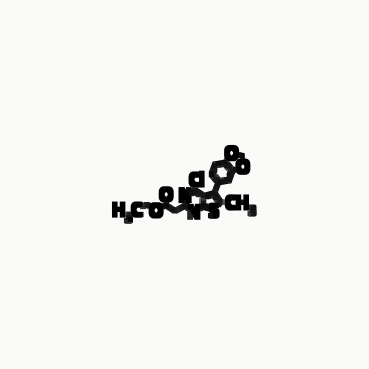 CCOC(=O)Cc1nc(Cl)c2c(-c3ccc4c(c3)OCO4)c(C)sc2n1